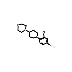 Nc1cnc(N2CCC(N3CCOCC3)CC2)c(Cl)c1